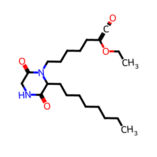 CCCCCCCCC1C(=O)NCC(=O)N1CCCCCC(=C=O)OCC